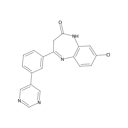 O=C1CC(c2cccc(-c3cncnc3)c2)=Nc2ccc(Cl)cc2N1